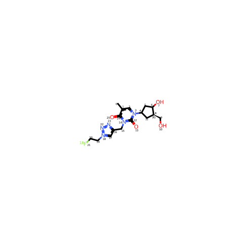 Cc1cn(C2CC(O)[C@@H](CO)C2)c(=O)n(Cc2cn(CC[18F])nn2)c1=O